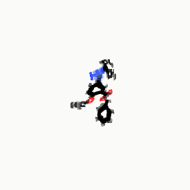 COc1ccc(NC(C)C)cc1C(=O)OCc1ccccc1